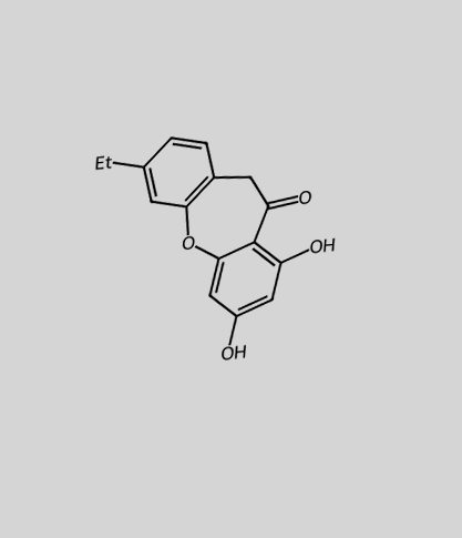 CCc1ccc2c(c1)Oc1cc(O)cc(O)c1C(=O)C2